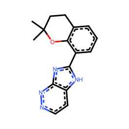 CC1(C)CCc2cccc(-c3nc4nnccc4[nH]3)c2O1